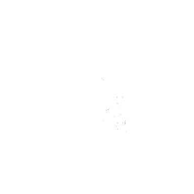 CCCCC1CC(C23C[C@@H]4[C@H](C)CC[C@H]4C4(C=O)CC2C=C(C(C)C)C34C(=O)O)OC1CN1CCC(OC)CC1